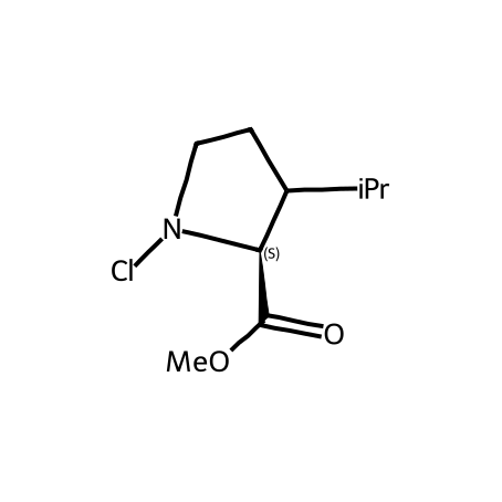 COC(=O)[C@@H]1C(C(C)C)CCN1Cl